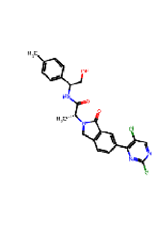 Cc1ccc([C@@H](CO)NC(=O)[C@@H](C)N2Cc3ccc(-c4nc(Cl)ncc4Cl)cc3C2=O)cc1